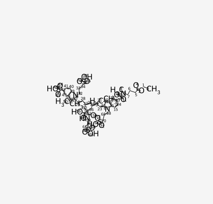 CCOC(=O)CCCN(C)S(=O)(=O)c1ccc2c(c1)C(C)(C)/C(=C\C=C1C=C(/C=C/C3=[N+](CCCS(=O)(=O)O)c4ccc(S(=O)(=O)O)cc4C3(C)C)CC(C(=O)O)(C(=O)NCCS(=O)(=O)O)C\1)N2CCCS(=O)(=O)O